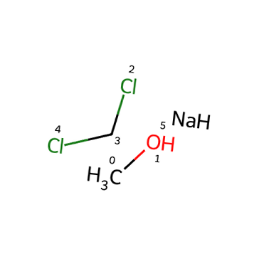 CO.ClCCl.[NaH]